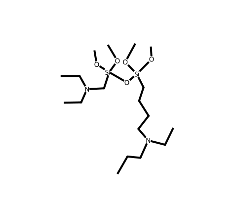 CCCN(CC)CCCC[Si](OC)(OC)O[Si](CN(CC)CC)(OC)OC